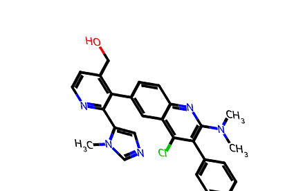 CN(C)c1nc2ccc(-c3c(CO)ccnc3-c3cncn3C)cc2c(Cl)c1-c1ccccc1